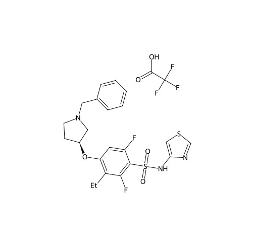 CCc1c(O[C@H]2CCN(Cc3ccccc3)C2)cc(F)c(S(=O)(=O)Nc2cscn2)c1F.O=C(O)C(F)(F)F